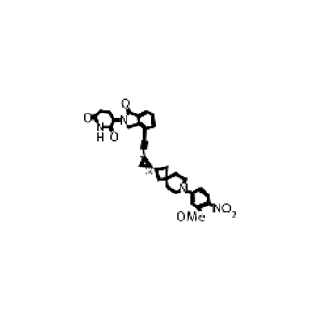 COc1cc(N2CCC3(CC2)CC([C@@H]2C[C@H]2C#Cc2cccc4c2CN(C2CCC(=O)NC2=O)C4=O)C3)ccc1[N+](=O)[O-]